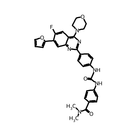 CN(C)C(=O)c1ccc(NC(=O)Nc2ccc(-c3nc(N4CCOCC4)c4cc(F)c(-c5ccco5)cc4n3)cc2)cc1